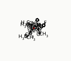 CC(=O)OCC(=O)N(CC1CN(C(=O)OC(C)(C)C)CC1NC(=O)OCC[Si](C)(C)C)C(c1nc(-c2cc(F)ccc2F)cn1Cc1ccccc1)C(C)(C)C